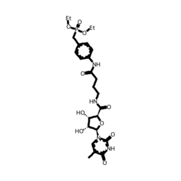 CCOP(=O)(Cc1ccc(NC(=O)CCCNC(=O)[C@H]2O[C@@H](n3cc(C)c(=O)[nH]c3=O)[C@H](O)[C@@H]2O)cc1)OCC